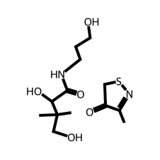 CC(C)(CO)C(O)C(=O)NCCCO.CC1=NSCC1=O